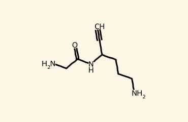 C#CC(CCCN)NC(=O)CN